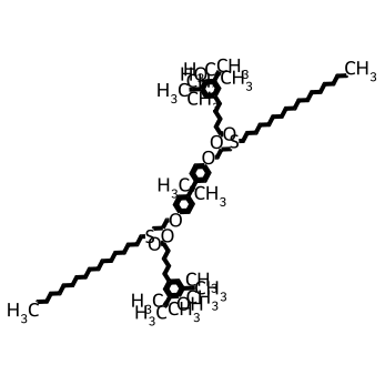 CCCCCCCCCCCCCCCCCCSCC(COc1ccc(C(C)(C)c2ccc(OCC(CSCCCCCCCCCCCCCCCCCC)OC(=O)CCCCc3cc(C(C)(C)C)c(O)c(C(C)(C)C)c3)cc2)cc1)OC(=O)CCCCc1cc(C(C)(C)C)c(O)c(C(C)(C)C)c1